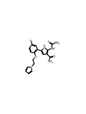 NC(=O)Nc1[nH]c(-c2cc(Cl)ccc2OCCn2cccc2)cc1C(N)=O